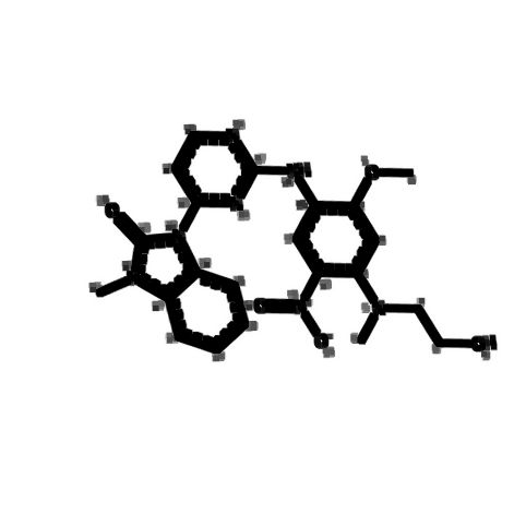 COc1cc(N(C)CCO)c([N+](=O)[O-])cc1Nc1nccc(-n2c(=O)n(C)c3ccccc32)n1